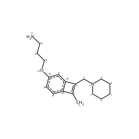 CC1=C(CN2CCCCC2)c2cc(OCCCN)ccc21